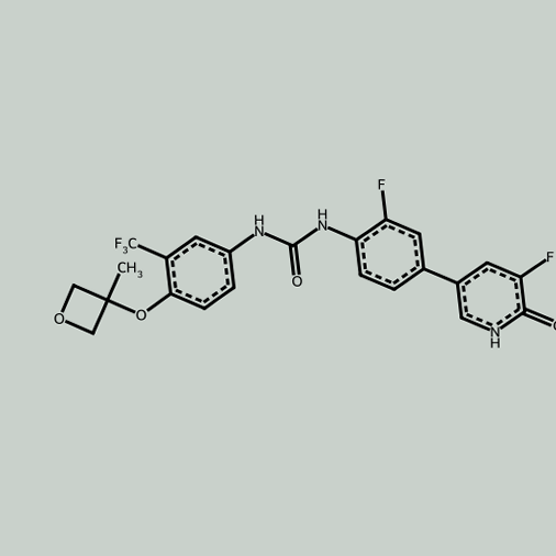 CC1(Oc2ccc(NC(=O)Nc3ccc(-c4c[nH]c(=O)c(F)c4)cc3F)cc2C(F)(F)F)COC1